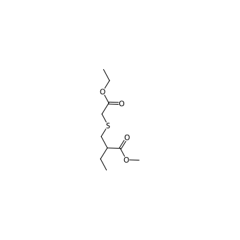 CCOC(=O)CSCC(CC)C(=O)OC